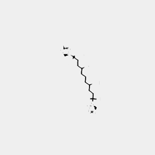 CC(C)(CCC(O)CCCC(O)CCC(C)(C)n1cnnn1)n1cnnn1